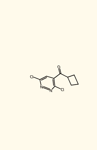 O=C(c1cc(Cl)nnc1Cl)C1CCC1